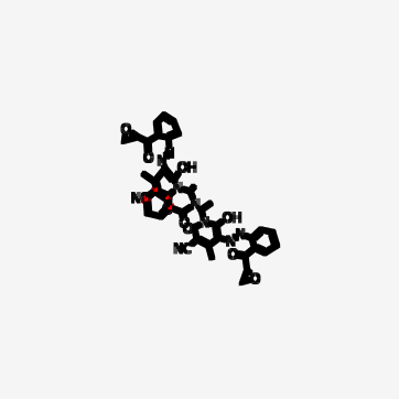 Cc1c(N=Nc2ccccc2C(=O)C2CO2)c(O)n(C(C)N(C(=O)c2ccccc2)C(C)n2c(O)c(N=Nc3ccccc3C(=O)C3CO3)c(C)c(C#N)c2=O)c(=O)c1C#N